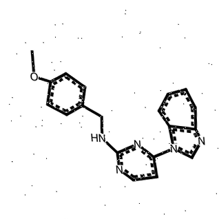 COc1ccc(CNc2nccc(-n3cnc4ccccc43)n2)cc1